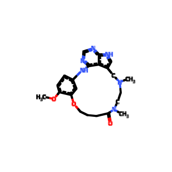 COc1ccc2cc1OCCCC(=O)N(C)CCN(C)Cc1c[nH]c3ncnc(c13)N2